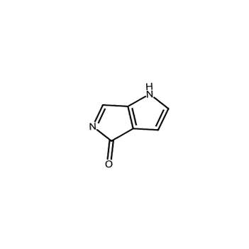 O=C1N=Cc2[nH]ccc21